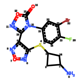 NC1CC(Sc2nonc2-c2noc(=O)n2-c2ccc(F)c(Br)c2)C1